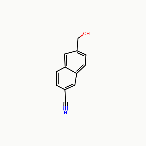 N#Cc1ccc2cc(CO)ccc2c1